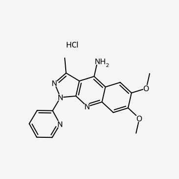 COc1cc2nc3c(c(C)nn3-c3ccccn3)c(N)c2cc1OC.Cl